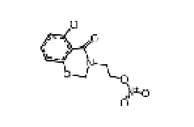 O=C1c2c(Cl)cccc2OCN1CCO[N+](=O)[O-]